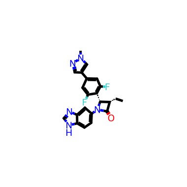 CC[C@@H]1C(=O)N(c2ccc3[nH]cnc3c2)[C@@H]1c1c(F)cc(-c2cnn(C)c2)cc1F